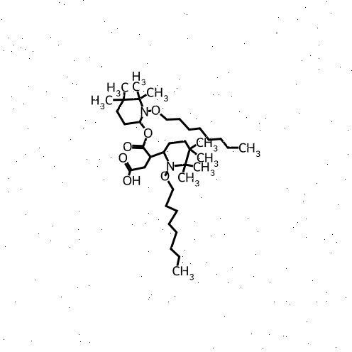 CCCCCCCCON1C(OC(=O)C(CC(=O)O)C2CCC(C)(C)C(C)(C)N2OCCCCCCCC)CCC(C)(C)C1(C)C